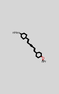 CCCCCCC1CCC(C=CC#CC=CC2CCC(OCCC)CC2)CC1